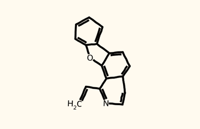 C=Cc1nccc2ccc3c4ccccc4oc3c12